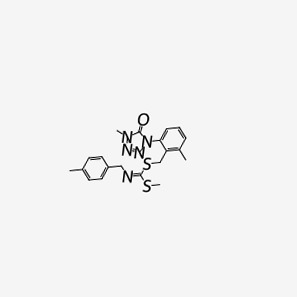 CSC(=NCc1ccc(C)cc1)SCc1c(C)cccc1-n1nnn(C)c1=O